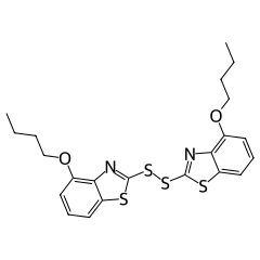 CCCCOc1cccc2sc(SSc3nc4c(OCCCC)cccc4s3)nc12